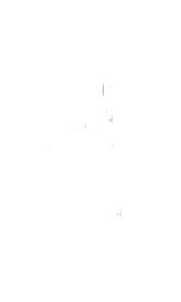 CC1(O[Si](C)(C)C(C)(C)C)CC(Br)C1